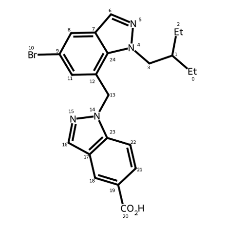 CCC(CC)Cn1ncc2cc(Br)cc(Cn3ncc4cc(C(=O)O)ccc43)c21